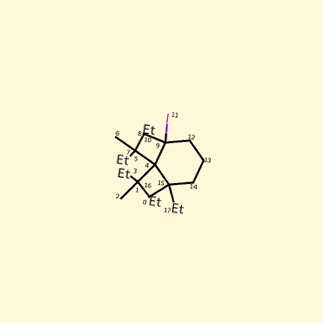 CCC(C)(CC)C1(C(C)(CC)CC)C(C)(I)CCCC1(C)CC